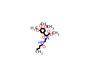 C=CCCC(=O)NCc1nc(C(=O)OC)c(-c2cc(OC)c(OC)c(OC)c2)o1